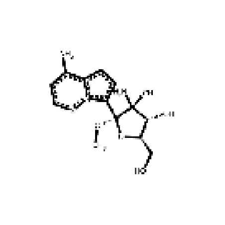 CO[C@@]1(c2ccc3c(N)ccnn23)O[C@H](CO)[C@@H](O)[C@@]1(C)N